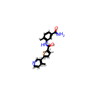 Cc1ccc(C(N)=O)cc1NC(=O)c1ccc(-c2cnccc2C)s1